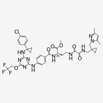 COC(=O)[C@@H](CCNC(=O)C(=O)NCC1(Cn2nc(C)cc2C)CC1)NC(=O)c1ccc(Nc2nc(NC3(c4ccc(Cl)cc4)CC3)nc(OCC(F)(F)F)n2)cc1